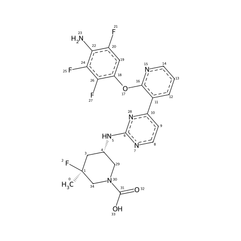 C[C@]1(F)C[C@H](Nc2nccc(-c3cccnc3Oc3cc(F)c(N)c(F)c3F)n2)CN(C(=O)O)C1